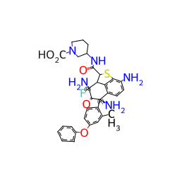 Cc1cc(Oc2ccccc2)ccc1[C@]1(N)C(=O)[C@](N)(F)C2c3c1ccc(N)c3SC2C(=O)NC1CCCN(C(=O)O)C1